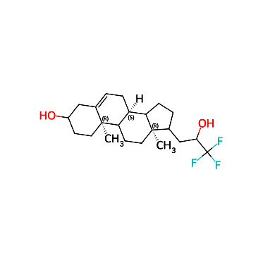 C[C@]12CCC3[C@@H](CC=C4CC(O)CC[C@@]43C)C1CCC2CC(O)C(F)(F)F